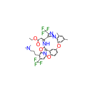 CCOC(=O)C[C@@H]1NC(=O)[C@@H](n2cc(CCCN(C)C)c(C(F)(F)F)cc2=O)c2cccc(c2)Oc2cc(C)cc(C)c2-n2cc1c(C(F)(F)F)n2